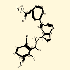 CC(On1ccc2ncc(-c3cccc(C(N)=O)c3)cc21)c1c(Cl)ccc(F)c1Cl